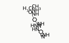 CC(C)NC(=O)NCc1ccc(C2NN=C(Nc3ccc4[nH]ncc4c3)N2)cc1